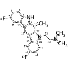 Cc1c2[nH]c3ccc(F)cc3c2cc2c3cc(F)ccc3n(CCN(C)C)c12